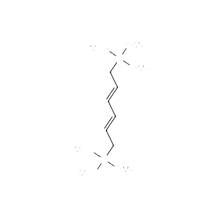 CO[Si](C/C=C/C=C/C[Si](OC)(OC)OC)(OC)OC